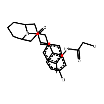 O=C(CCl)Nc1cc(Cl)ccc1C=CC(=O)N1C2CCCC1CN(Cc1ccc(F)cc1)C2